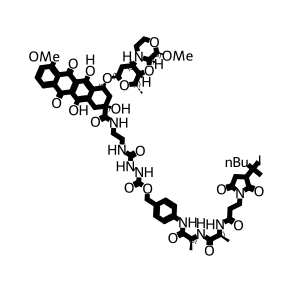 CCCCC(C)(I)C1CC(=O)N(CCC(=O)N[C@@H](C)C(=O)N[C@@H](C)C(=O)Nc2ccc(COC(=O)NNC(=O)NCCNC(=O)[C@]3(O)Cc4c(O)c5c(c(O)c4[C@@H](O[C@H]4C[C@H]6[C@H](O[C@@H]7[C@@H](OC)OCCN76)[C@H](C)O4)C3)C(=O)c3c(OC)cccc3C5=O)cc2)C1=O